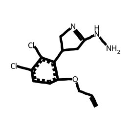 C=CCOc1ccc(Cl)c(Cl)c1C1CN=C(NN)C1